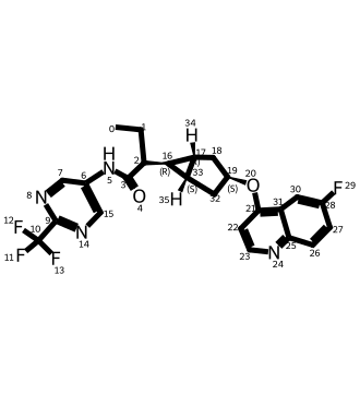 CCC(C(=O)Nc1cnc(C(F)(F)F)nc1)[C@H]1[C@@H]2C[C@@H](Oc3ccnc4ccc(F)cc34)C[C@@H]21